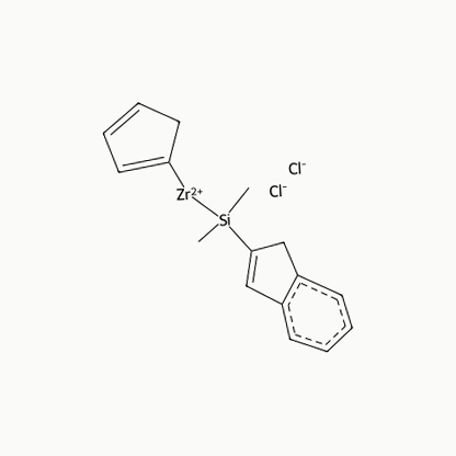 C[Si](C)([Zr+2][C]1=CC=CC1)C1=Cc2ccccc2C1.[Cl-].[Cl-]